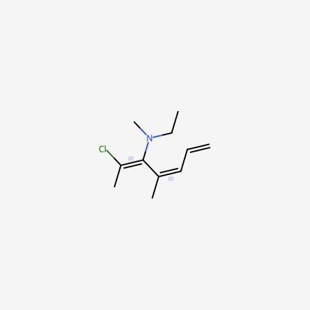 C=C/C=C(C)\C(=C(/C)Cl)N(C)CC